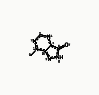 Cn1ncnc2c(=O)[nH]nc1-2